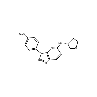 COc1ccc(-n2nnc3cnc(N[C@@H]4CCOC4)nc32)cc1